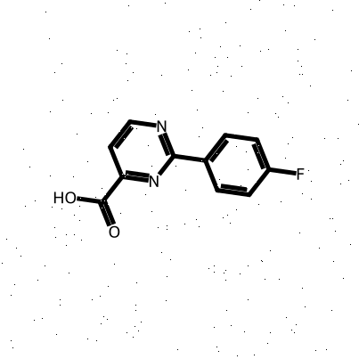 O=C(O)c1ccnc(-c2ccc(F)cc2)n1